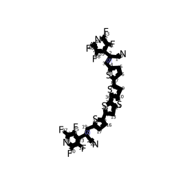 N#C/C(=C\c1ccc(-c2cc3sc4cc(-c5ccc(/C=C(\C#N)c6c(F)c(F)nc(F)c6F)s5)sc4c3s2)s1)c1c(F)c(F)nc(F)c1F